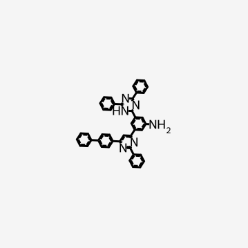 Nc1cc(-c2cc(-c3ccc(-c4ccccc4)cc3)nc(-c3ccccc3)n2)cc(C2N=C(c3ccccc3)N=C(c3ccccc3)N2)c1